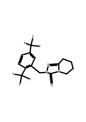 O=c1n(Cc2cc(C(F)(F)F)ccc2C(F)(F)F)nc2n1CCCC2